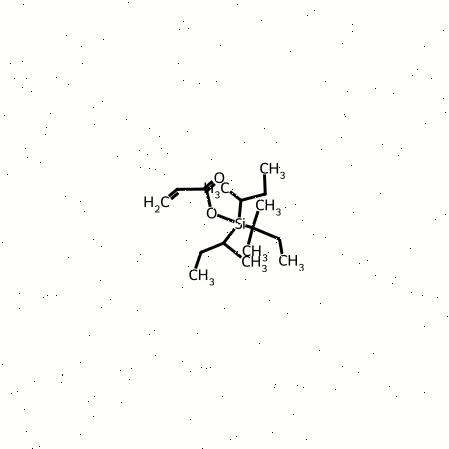 C=CC(=O)O[Si](C(C)CC)(C(C)CC)C(C)(C)CC